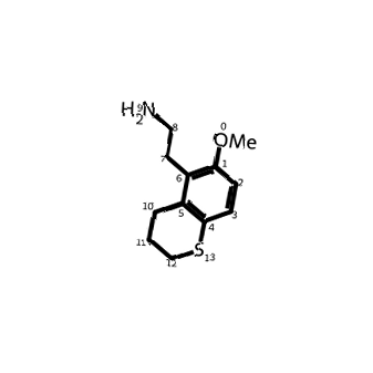 COc1ccc2c(c1CCN)C[CH]CS2